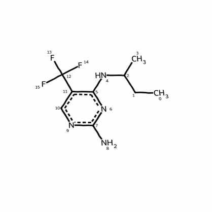 CCC(C)Nc1nc(N)ncc1C(F)(F)F